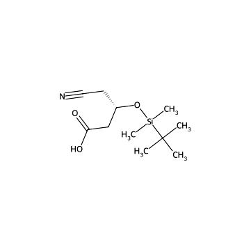 CC(C)(C)[Si](C)(C)O[C@@H](CC#N)CC(=O)O